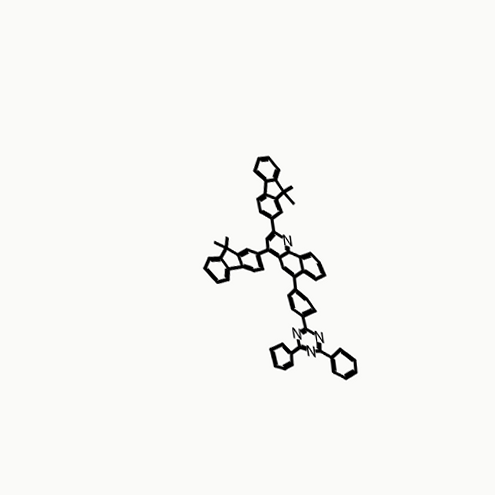 CC1(C)c2ccccc2-c2ccc(-c3cc(-c4ccc5c(c4)C(C)(C)c4ccccc4-5)c4cc(-c5ccc(-c6nc(-c7ccccc7)nc(-c7ccccc7)n6)cc5)c5ccccc5c4n3)cc21